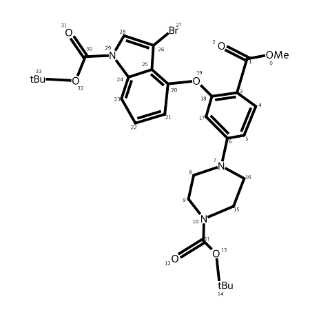 COC(=O)c1ccc(N2CCN(C(=O)OC(C)(C)C)CC2)cc1Oc1cccc2c1c(Br)cn2C(=O)OC(C)(C)C